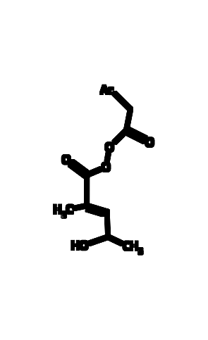 CC(=O)CC(=O)OOC(=O)C(C)=CC(C)O